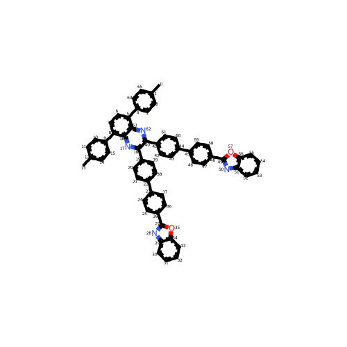 Cc1ccc(-c2ccc(-c3ccc(C)cc3)c3nc(-c4ccc(-c5ccc(-c6nc7ccccc7o6)cc5)cc4)c(-c4ccc(-c5ccc(-c6nc7ccccc7o6)cc5)cc4)nc23)cc1